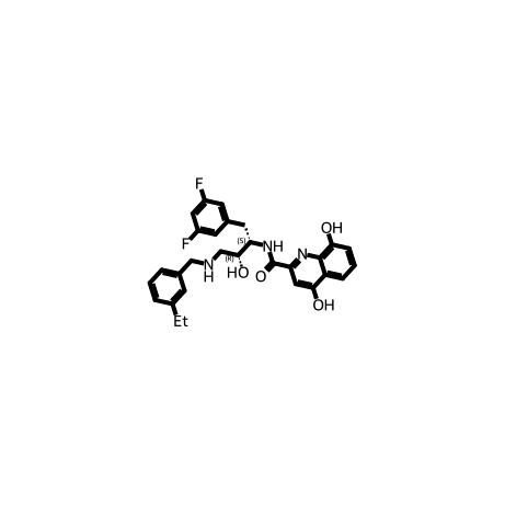 CCc1cccc(CNC[C@@H](O)[C@H](Cc2cc(F)cc(F)c2)NC(=O)c2cc(O)c3cccc(O)c3n2)c1